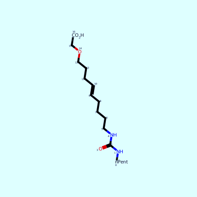 CCCCCNC(=O)NCCCC/C=C/CCCOCC(=O)O